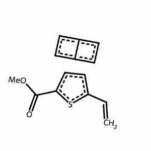 C=Cc1ccc(C(=O)OC)s1.c1cc2ccc1-2